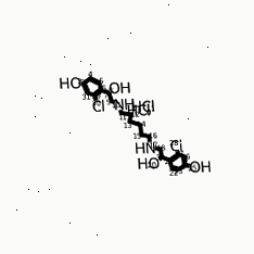 Cl.Cl.Oc1ccc(C(O)CNCCCCCCNCC(O)c2ccc(O)cc2Cl)c(Cl)c1